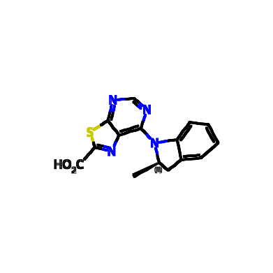 C[C@@H]1Cc2ccccc2N1c1ncnc2sc(C(=O)O)nc12